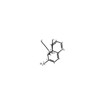 CN1C=C2C(N)=CC=C3N=CC=CC32N1C